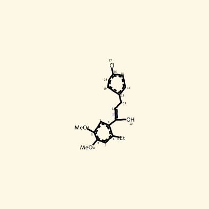 CCc1cc(OC)c(OC)cc1/C(O)=C/Cc1ccc(Cl)cc1